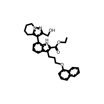 CCOC(=O)c1[nH]c2c(-c3c(CO)nn4c3CCCC4)cccc2c1CCCOc1cccc2ccccc12